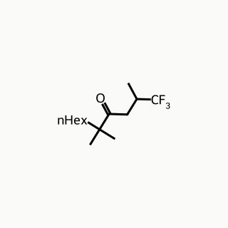 CCCCCCC(C)(C)C(=O)CC(C)C(F)(F)F